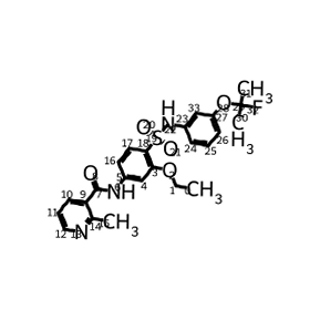 CCOc1cc(NC(=O)c2cccnc2C)ccc1S(=O)(=O)Nc1cccc(OC(C)(C)F)c1